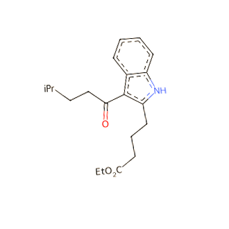 CCOC(=O)CCCc1[nH]c2ccccc2c1C(=O)CCC(C)C